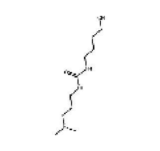 CN(C)CCCNC(=O)NCCCCO